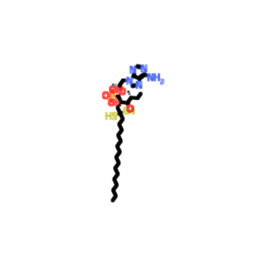 CCCCCCCCCCCCCCCCC(S)(S)C[C@H](C(=O)[C@H](C)CC)[C@H](O[C@H](C)Cn1cnc2c(N)ncnc21)P(=O)(O)O